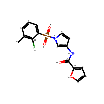 Cc1cccc(S(=O)(=O)n2ccc(NC(=O)c3ccco3)c2)c1F